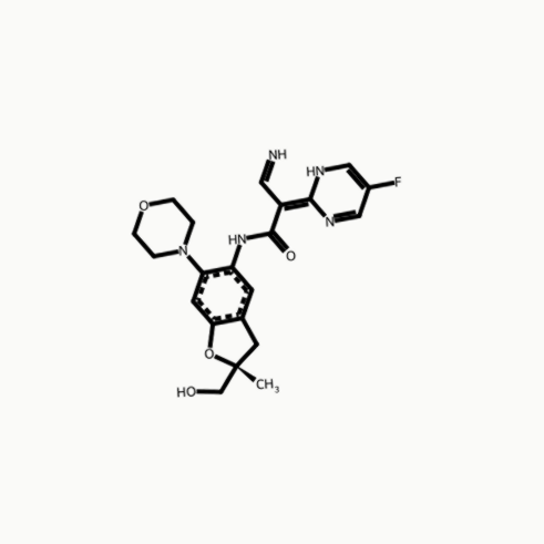 C[C@]1(CO)Cc2cc(NC(=O)/C(C=N)=C3\N=CC(F)=CN3)c(N3CCOCC3)cc2O1